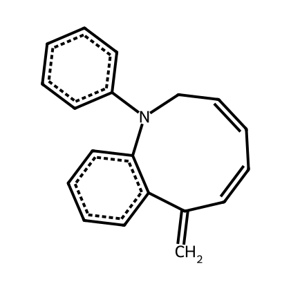 C=C1/C=C\C=C/CN(c2ccccc2)c2ccccc21